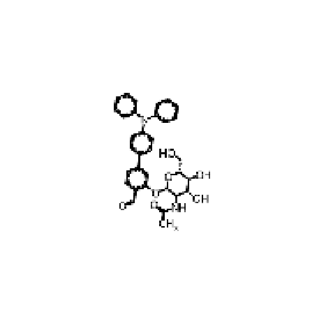 CC(=O)N[C@H]1C(Oc2cc(-c3ccc(N(c4ccccc4)c4ccccc4)cc3)ccc2C=O)O[C@H](CO)C(O)[C@@H]1O